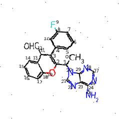 CC(C1=C(c2cccc(F)c2)C(C=O)c2ccccc2O1)n1cnc2c(N)ncnc21